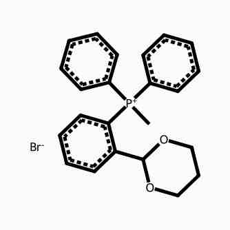 C[P+](c1ccccc1)(c1ccccc1)c1ccccc1C1OCCCO1.[Br-]